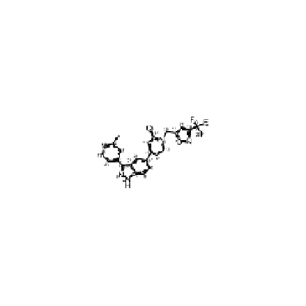 Cc1cc(-c2n[nH]c3ccc(-c4ccn(Cc5cc(C(F)(F)F)no5)c(=O)c4)cc23)ccn1